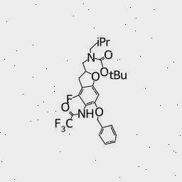 CC(C)CN(CC1Cc2c(cc(OCc3ccccc3)c(NC(=O)C(F)(F)F)c2F)O1)C(=O)OC(C)(C)C